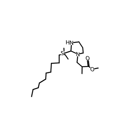 CCCCCCCCCC[Si](C)(C)C1NCCCN1CC(C)C(=O)OC